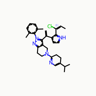 C=C(c1cc[nH]c1/C(Cl)=C\C)c1c2c(nn1-c1c(C)cccc1C)CCN(C1=NC=C(C(C)C)CC1)C2